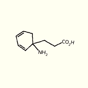 NC1(CCC(=O)O)C=CC=CC1